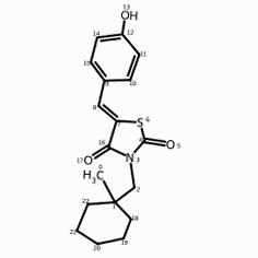 CC1(CN2C(=O)S/C(=C\c3ccc(O)cc3)C2=O)CCCCC1